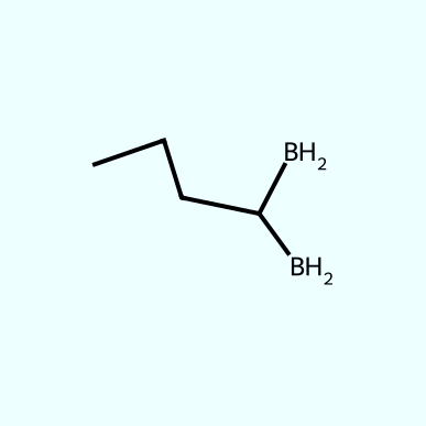 BC(B)CCC